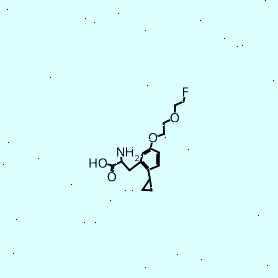 NC(Cc1cc(OCCOCCF)ccc1C1CC1)C(=O)O